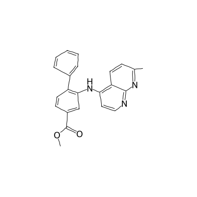 COC(=O)c1ccc(-c2ccccc2)c(Nc2ccnc3nc(C)ccc23)c1